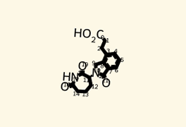 O=C(O)CCc1cccc2c1CN([C@H]1CCCC(=O)NC1=O)C2=O